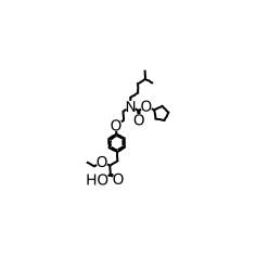 CCOC(Cc1ccc(OCCN(CCCC(C)C)C(=O)OC2CCCC2)cc1)C(=O)O